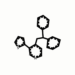 [c]1nccc(CC(c2ccccc2)c2ccccc2)c1-c1cccs1